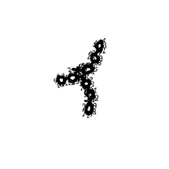 CC1(C)c2cc(-c3ccccc3)ccc2N(c2ccc(-c3ccc(-c4ccccc4)s3)cc2)c2ccc(-c3ccc(-c4ccccc4)cc3)cc21